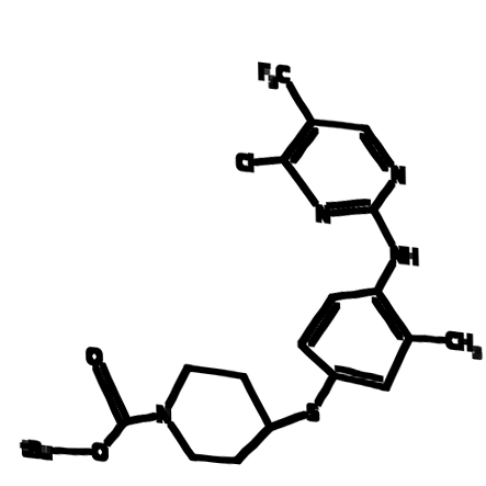 Cc1cc(SC2CCN(C(=O)OC(C)(C)C)CC2)ccc1Nc1ncc(C(F)(F)F)c(Cl)n1